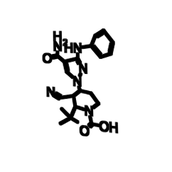 CC(C)(C)C1C(C#N)C(n2cc(C(N)=O)c(Nc3ccccc3)n2)CCN1C(=O)O